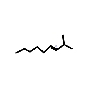 CCCCC/C=C/C(C)C